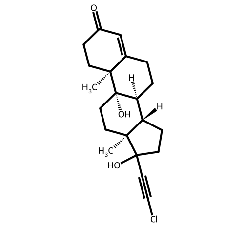 C[C@]12CC[C@]3(O)[C@@H](CCC4=CC(=O)CC[C@@]43C)[C@@H]1CCC2(O)C#CCl